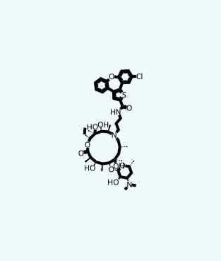 CC[C@H]1OC(=O)[C@H](C)[C@@H](O)[C@H](C)[C@@H](O[C@@H]2O[C@H](C)C[C@H](N(C)C)[C@H]2O)[C@](C)(O)C[C@@H](C)CN(CCCNC(=O)c2cc3c(s2)-c2cc(Cl)ccc2Oc2ccccc2-3)[C@H](C)[C@@H](O)[C@]1(C)O